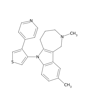 Cc1ccc2c(c1)c1c(n2-c2cscc2-c2ccncc2)CCCN(C)C1